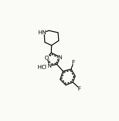 Cl.Fc1ccc(-c2noc(C3CCCNC3)n2)c(F)c1